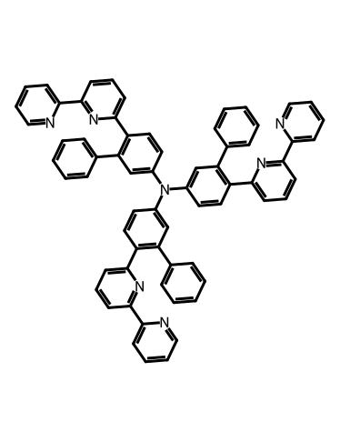 c1ccc(-c2cc(N(c3ccc(-c4cccc(-c5ccccn5)n4)c(-c4ccccc4)c3)c3ccc(-c4cccc(-c5ccccn5)n4)c(-c4ccccc4)c3)ccc2-c2cccc(-c3ccccn3)n2)cc1